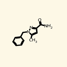 Cc1cc(C(N)=O)nn1Cc1ccccc1